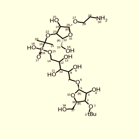 CC(C)(C)OC1C(O)[C@H](OCC(O)C(O)C(O)COP(=O)(O)C(C)(C)OC2C(O)[C@H](OCCN)O[C@@H]2CO)O[C@@H]1CO